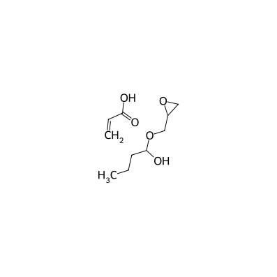 C=CC(=O)O.CCCC(O)OCC1CO1